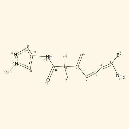 C=C(/C=C\C=C(/N)Br)C(C)(C)C(=O)Nc1cnn(C)c1